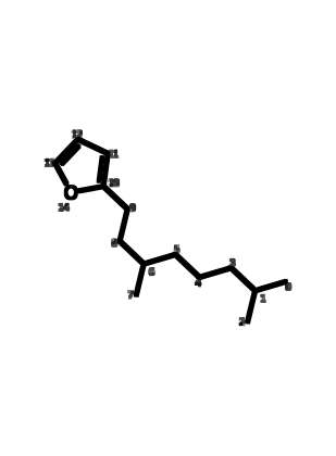 CC(C)CCCC(C)CCc1ccco1